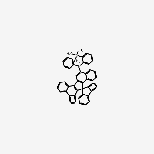 C[Si](C)(C)c1ccccc1N(c1ccccc1)c1cc2c(c3ccccc13)C1(c3ccccc3-c3ccccc31)c1c-2c2ccccc2c2ccccc12